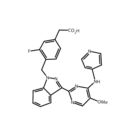 COc1cnc(-c2nn(Cc3ccc(CC(=O)O)cc3F)c3ccccc23)nc1Nc1ccncc1